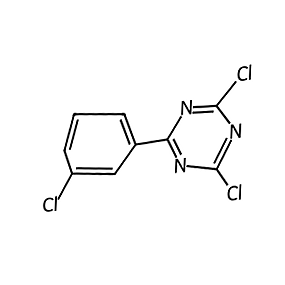 Clc1cccc(-c2nc(Cl)nc(Cl)n2)c1